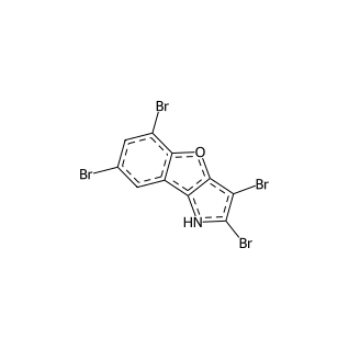 Brc1cc(Br)c2oc3c(Br)c(Br)[nH]c3c2c1